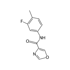 Cc1ccc(NC(=O)c2cocn2)cc1F